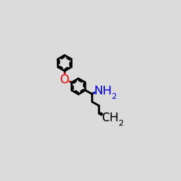 C=CCCC(N)c1ccc(Oc2ccccc2)cc1